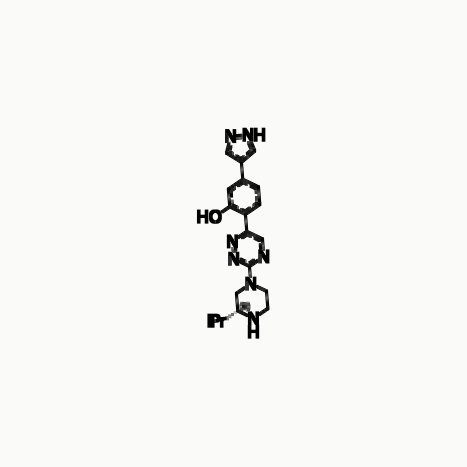 CC(C)[C@@H]1CN(c2ncc(-c3ccc(-c4cn[nH]c4)cc3O)nn2)CCN1